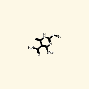 C=C1NC(SCC)=NC(SC)=C1C(N)=O